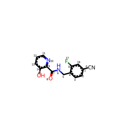 N#Cc1ccc(CNC(=O)c2ncccc2O)c(F)c1